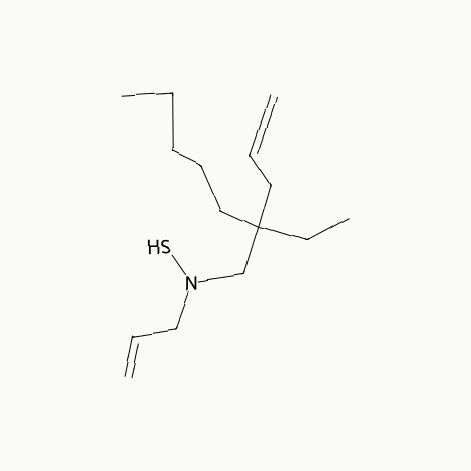 C=CCN(S)CC(CC)(CC=C)CCCCC